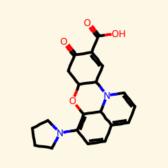 O=C(O)C1=CC2C(CC1=O)OC1=C(N3CCCC3)C=CC3=CC=CN2C31